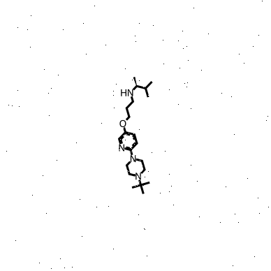 CC(C)[C@H](C)NCCCOc1ccc(N2CCN(C(C)(C)C)CC2)nc1